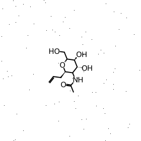 C=CC[C@H]1OC(CO)[C@@H](O)[C@H](O)C1NC(C)=O